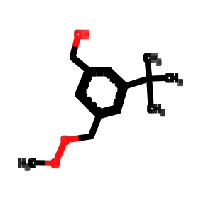 COOCc1cc(CO)cc(C(C)(C)C)c1